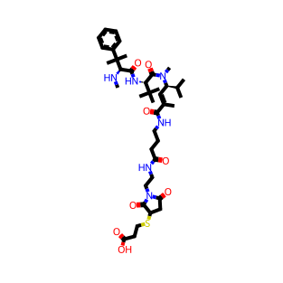 CN[C@H](C(=O)N[C@H](C(=O)N(C)[C@H](/C=C(\C)C(=O)NCCCC(=O)NCCN1C(=O)CC(SCCC(=O)O)C1=O)C(C)C)C(C)(C)C)C(C)(C)c1ccccc1